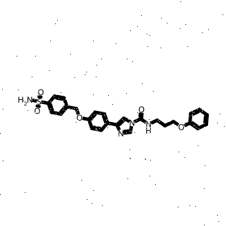 NS(=O)(=O)c1ccc(COc2ccc(-c3cn(C(=O)NCCCOc4ccccc4)cn3)cc2)cc1